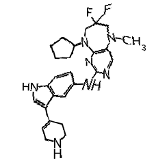 CN1CC(F)(F)CN(C2CCCC2)c2nc(Nc3ccc4[nH]cc(C5=CCNCC5)c4c3)ncc21